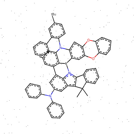 Cc1cc2c3c(c1)N(c1ccc(C(C)(C)C)cc1-c1ccccc1)c1cc4c(cc1B3n1c3c(c5cc(N(c6ccccc6)c6ccccc6)cc-2c51)C(C)(C)c1ccccc1-3)Oc1ccccc1O4